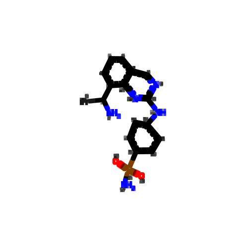 CC(C)C(N)c1cccc2cnc(Nc3ccc(S(N)(=O)=O)cc3)nc12